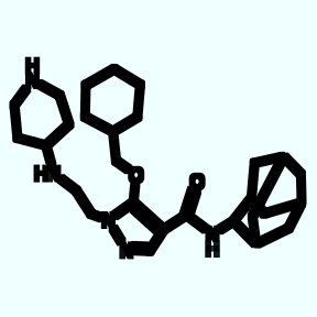 O=C(NC1C2CC3CC(C2)CC1C3)c1cnn(CCNC2CCNCC2)c1OCC1CCCCC1